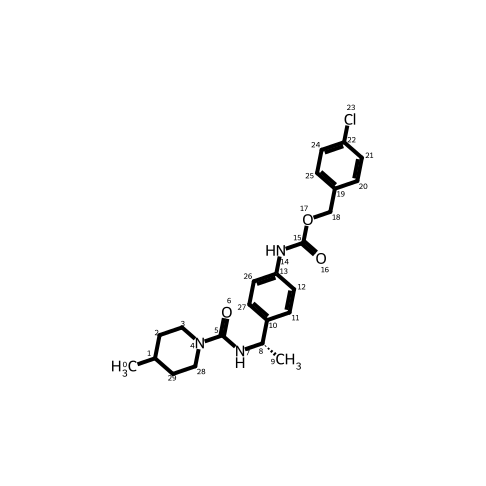 CC1CCN(C(=O)N[C@@H](C)c2ccc(NC(=O)OCc3ccc(Cl)cc3)cc2)CC1